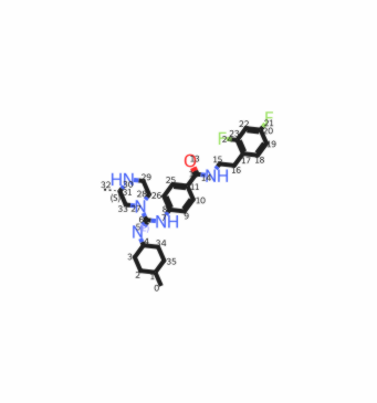 CC1CCC(/N=C(\Nc2ccc(C(=O)NCCc3ccc(F)cc3F)cc2)N2CCN[C@@H](C)C2)CC1